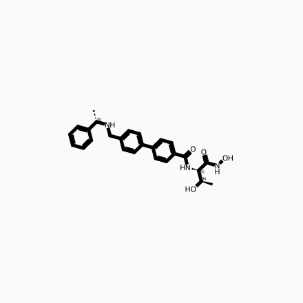 C[C@H](NCc1ccc(-c2ccc(C(=O)N[C@H](C(=O)NO)[C@@H](C)O)cc2)cc1)c1ccccc1